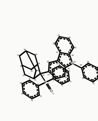 O=P(c1ccccc1)(c1ccccc1)C1(c2ccc3c(c2)c2ccccc2n3-c2ccccc2)C2CC3CC(C2)CC1C3